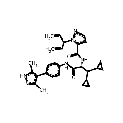 C=CC(C=C)n1nccc1C(=O)N[C@H](C(=O)Nc1ccc(-c2c(C)n[nH]c2C)cc1)C(C1CC1)C1CC1